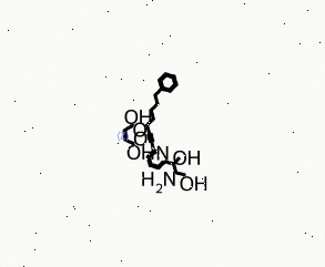 NC(CO)C(O)c1cccc(C#CCCCCCc2ccccc2)n1.O=C(O)/C=C\C(=O)O